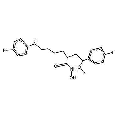 COC(CC(CCCCNc1ccc(F)cc1)C(=O)NO)c1ccc(F)cc1